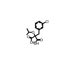 CC(C)OC(Cc1cccc(Cl)c1)(C(=O)O)C(=O)O